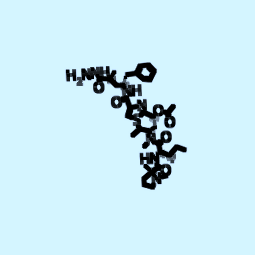 CC[C@H](C)[C@H](NC(=O)[C@@]1(C)CCCN1C)C(=O)N(C)[C@H](C[C@@H](OC(C)=O)c1nc(C(=O)N[C@@H](Cc2ccccc2)C[C@H](C)C(=O)NN)cs1)C(C)C